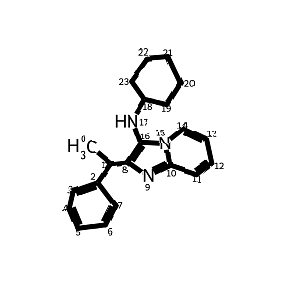 CC(c1ccccc1)c1nc2ccccn2c1NC1CCCCC1